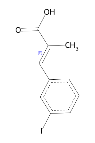 C/C(=C\c1cccc(I)c1)C(=O)O